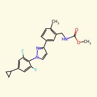 COC(=O)NCc1cc(-c2ccn(-c3c(F)cc(C4CC4)cc3F)n2)ccc1C